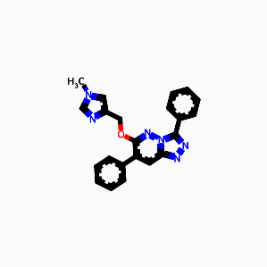 Cn1cnc(COc2nn3c(-c4ccccc4)nnc3cc2-c2ccccc2)c1